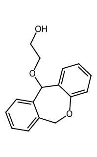 OCCOC1c2ccccc2COc2ccccc21